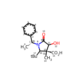 C[C@H](c1ccccc1)N1C(=O)C(O)[C@@](C)(C(=O)O)C1C(C)(C)C